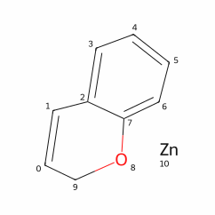 C1=Cc2ccccc2OC1.[Zn]